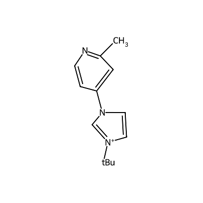 Cc1cc(-n2cc[n+](C(C)(C)C)c2)ccn1